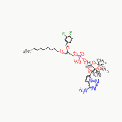 CCCCCCCCCCCCCCCCCCOC[C@H](COP(=O)(O)OC[C@H]1O[C@@](C#N)(c2ccc3c(N)ncnn23)[C@@H]2OC(C)(C)O[C@@H]21)OCc1ccc(F)c(F)c1